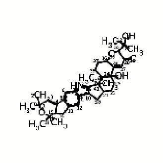 CC1(C)C=C2c3cc4[nH]c5c(c4cc3CC2C(C)(C)O1)CC1CCC2(O)C3=CC(=O)C(C(C)(C)O)OC3CC[C@]2(C)[C@@]51C